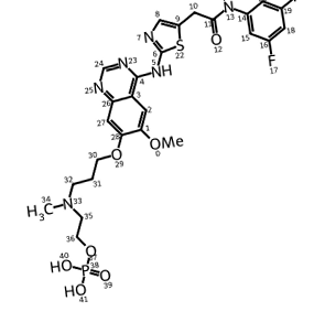 COc1cc2c(Nc3ncc(CC(=O)Nc4cc(F)cc(F)c4)s3)ncnc2cc1OCCCN(C)CCOP(=O)(O)O